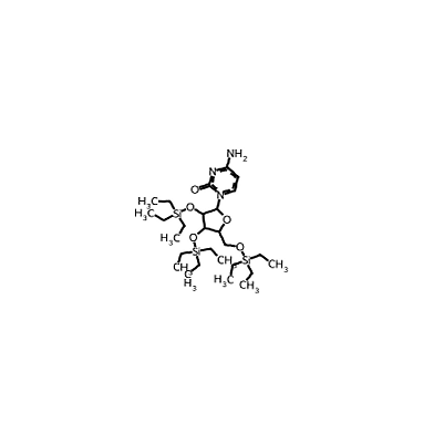 CC[Si](CC)(CC)OCC1OC(n2ccc(N)nc2=O)C(O[Si](CC)(CC)CC)C1O[Si](CC)(CC)CC